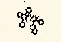 c1ccc2cc(-c3nc(-n4c5ccccc5c5c6ccccc6c6c7ccccc7sc6c54)nc4sc5ccccc5c34)ccc2c1